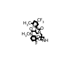 Cc1cc(C(F)(F)F)cc(N2C(=O)N(CC3(O)CNC3)CC2C(=O)N(C)c2ccc(F)c(Cl)c2)n1